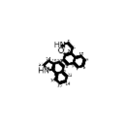 C1=Cc2c(ccc3ccccc23)ON1.c1ccc2c3c(ccc2c1)CCN3